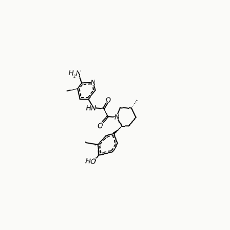 Cc1cc([C@@H]2CC[C@@H](C)CN2C(=O)C(=O)Nc2cnc(N)c(C)c2)ccc1O